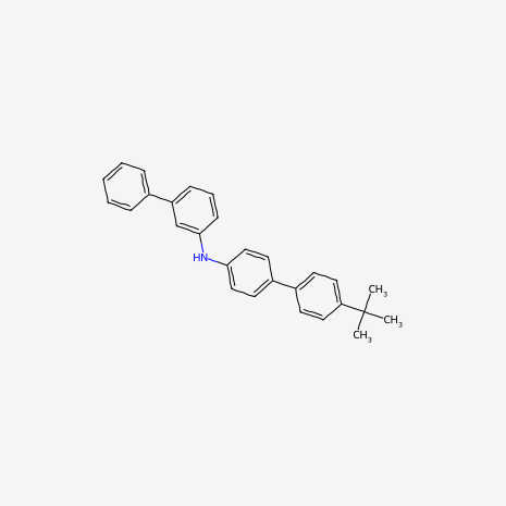 CC(C)(C)c1ccc(-c2ccc(Nc3cccc(-c4ccccc4)c3)cc2)cc1